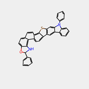 c1ccc(C2Nc3c(ccc4ccc5c(ccc6c7cc8c9ccccc9n(-c9ccccc9)c8cc7sc65)c34)O2)cc1